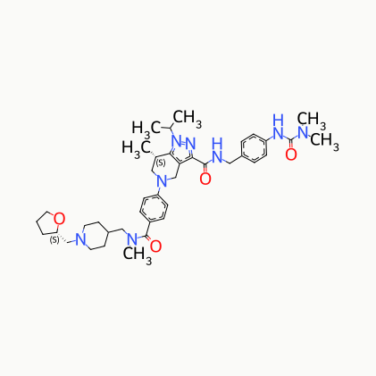 CC(C)n1nc(C(=O)NCc2ccc(NC(=O)N(C)C)cc2)c2c1[C@@H](C)CN(c1ccc(C(=O)N(C)CC3CCN(C[C@@H]4CCCO4)CC3)cc1)C2